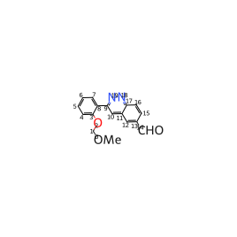 COCOc1ccccc1-c1cc2cc(C=O)ccc2nn1